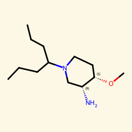 CCCC(CCC)N1CC[C@H](OC)[C@H](N)C1